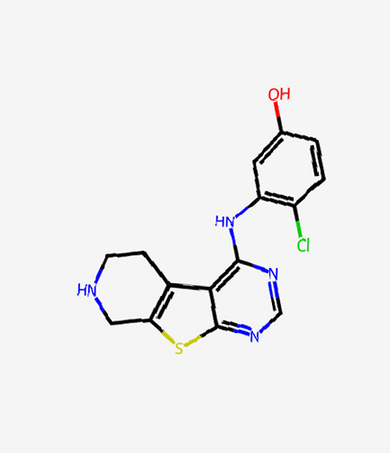 Oc1ccc(Cl)c(Nc2ncnc3sc4c(c23)CCNC4)c1